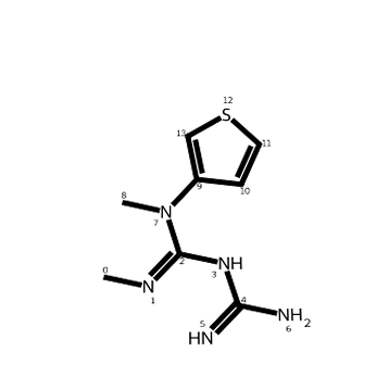 C/N=C(/NC(=N)N)N(C)c1ccsc1